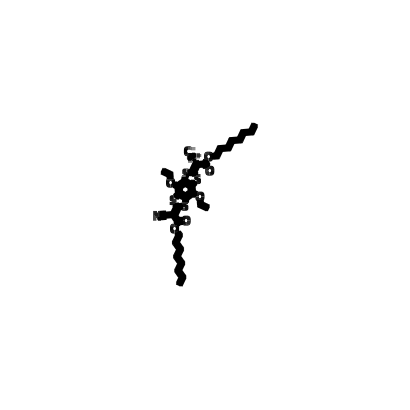 [C-]#[N+]C(C(=O)OCCCCCCCC)=C1Sc2c(OCC)c3c(c(OCC)c2S1)SC(=C(C#N)C(=O)OCCCCCCCC)S3